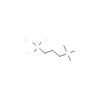 CCCC[N+](C)(C)CCC[Si](OC)(OC)OC